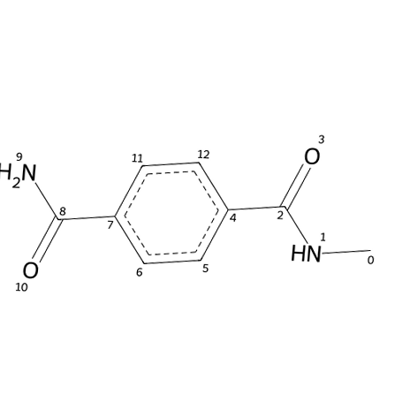 CNC(=O)c1ccc(C(N)=O)cc1